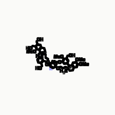 COc1cc2c(cc1OC)C(c1cc(CO)c(OC)c(OC)c1)[N+](C)(CCCOC(=O)/C=C\C(=O)OCCC[N+]1(C)CCc3cc(CO)c(CO)c(OC)c3C1Cc1ccc(CO)c(CO)c1)CC2